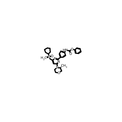 C=S(=O)(Cc1cc(N2CCOC[C@@H]2C)nc(-c2ccc(NC(=O)Oc3ccccc3)cc2)n1)C1CCCCC1